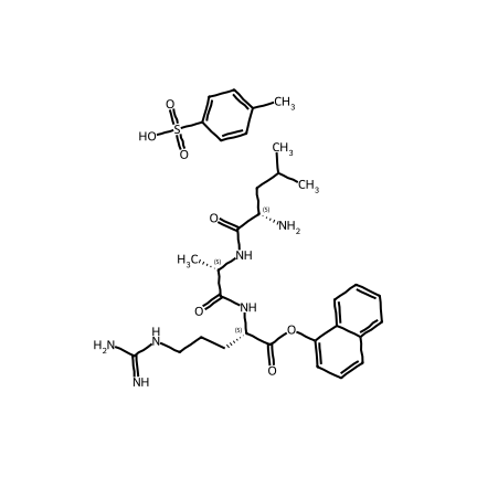 CC(C)C[C@H](N)C(=O)N[C@@H](C)C(=O)N[C@@H](CCCNC(=N)N)C(=O)Oc1cccc2ccccc12.Cc1ccc(S(=O)(=O)O)cc1